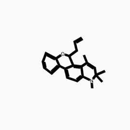 C=CCC1Oc2ccccc2-c2ccc3c(c21)C(C)=CC(C)(C)N3C